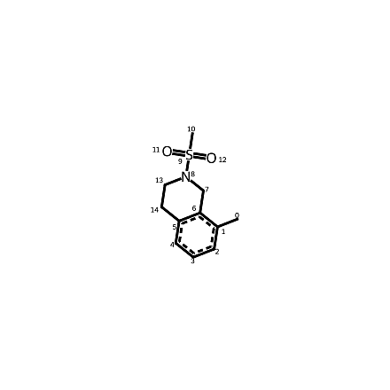 Cc1cccc2c1CN(S(C)(=O)=O)CC2